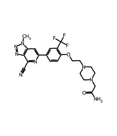 Cn1nnc2c(C#N)nc(-c3ccc(OCCN4CCN(CC(N)=O)CC4)c(C(F)(F)F)c3)cc21